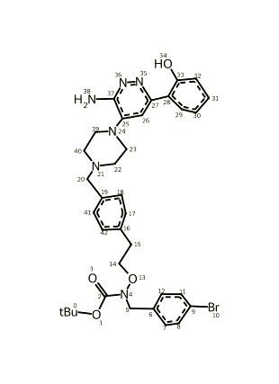 CC(C)(C)OC(=O)N(Cc1ccc(Br)cc1)OCCc1ccc(CN2CCN(c3cc(-c4ccccc4O)nnc3N)CC2)cc1